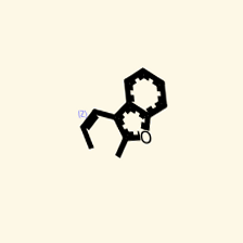 C/C=C\c1c(C)oc2ccccc12